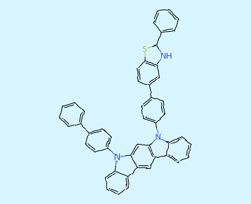 c1ccc(-c2ccc(-n3c4ccccc4c4cc5c6ccccc6n(-c6ccc(-c7ccc8c(c7)NC(c7ccccc7)S8)cc6)c5cc43)cc2)cc1